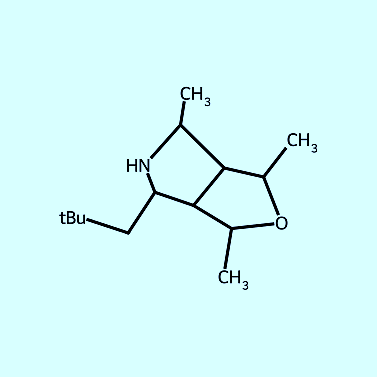 CC1NC(CC(C)(C)C)C2C(C)OC(C)C12